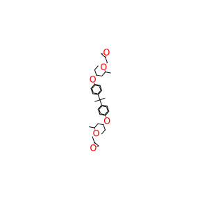 CCC(CC(C)OCC1CO1)Oc1ccc(C(C)(C)c2ccc(OC(CC)CC(C)OCC3CO3)cc2)cc1